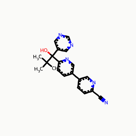 CC(C)(C)C(O)(c1cncnc1)c1ccc(-c2ccc(C#N)nc2)cn1